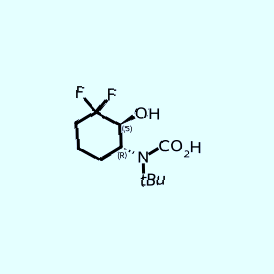 CC(C)(C)N(C(=O)O)[C@@H]1CCCC(F)(F)[C@H]1O